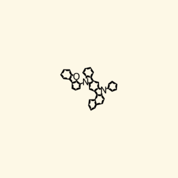 c1ccc(-n2c3cc4c5ccccc5n(-c5cccc6c5oc5ccccc56)c4cc3c3c4ccccc4ccc32)cc1